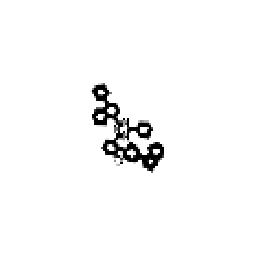 C1=CCC(c2nc(-c3ccc(-c4ccccc4)c4ccccc34)nc(-c3cccc4oc5cc(-c6cccc7ccccc67)ccc5c34)n2)C=C1